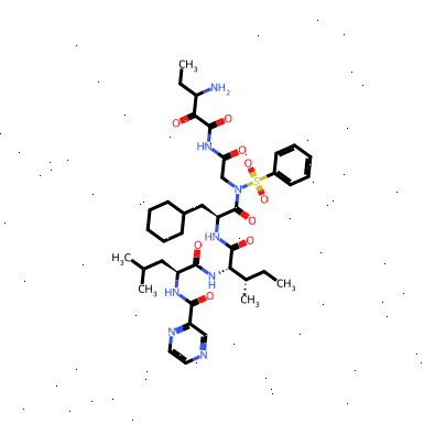 CCC(N)C(=O)C(=O)NC(=O)CN(C(=O)[C@H](CC1CCCCC1)NC(=O)[C@@H](NC(=O)[C@H](CC(C)C)NC(=O)c1cnccn1)[C@@H](C)CC)S(=O)(=O)c1ccccc1